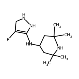 CC1(C)CC(NC2=C(F)CNN2)CC(C)(C)N1